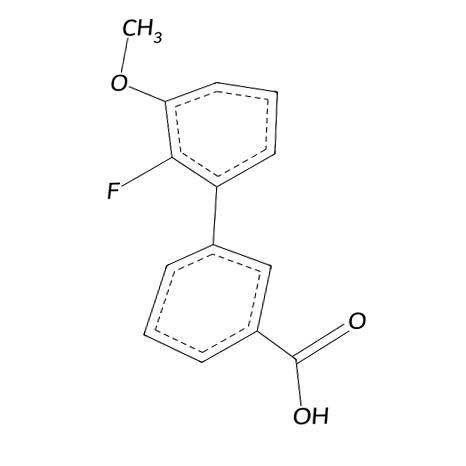 COc1cccc(-c2cccc(C(=O)O)c2)c1F